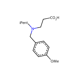 CCCC(C)N(CCC(=O)O)Cc1ccc(OC)cc1